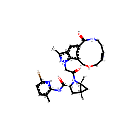 CC(=O)c1nn(CC(=O)N2[C@H](C(=O)Nc3nc(Br)ccc3C)C[C@@]3(C)C[C@@H]23)c2c3cc(cc12)C(=O)NCC/C=C\COC3